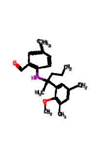 CCCC(C)(Pc1ccc(C)cc1C=O)c1cc(C)cc(C)c1OC